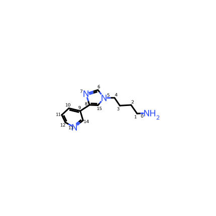 NCCCCn1cnc(-c2cccnc2)c1